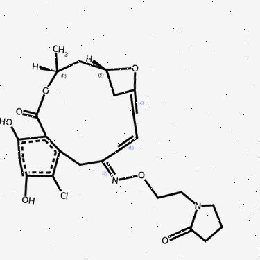 C[C@@H]1C[C@H]2C/C(=C/C=C/C(=N\OCCN3CCCC3=O)Cc3c(Cl)c(O)cc(O)c3C(=O)O1)O2